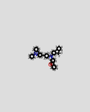 CC1(C)c2ccccc2-c2ccc(N(c3ccc(-c4ccc5c(c4)c4ccccc4n5-c4ccccc4)cc3)c3ccc4c(c3)oc3ccccc34)cc21